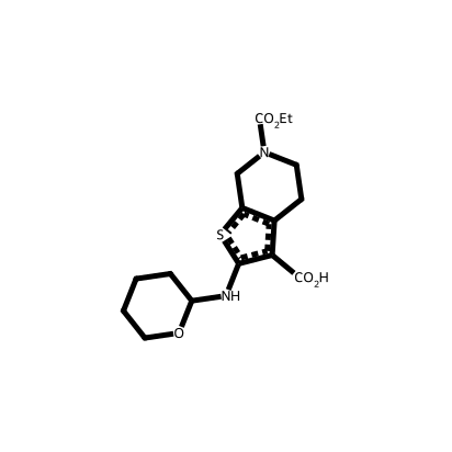 CCOC(=O)N1CCc2c(sc(NC3CCCCO3)c2C(=O)O)C1